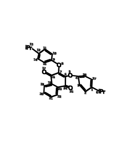 CC(C)c1ccc(OC2=C(Oc3ccc(C(C)C)cc3)C(=O)c3ccccc3C2=O)cc1